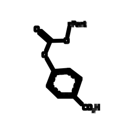 CCCCCOC(=O)Oc1ccc(C(=O)O)cc1